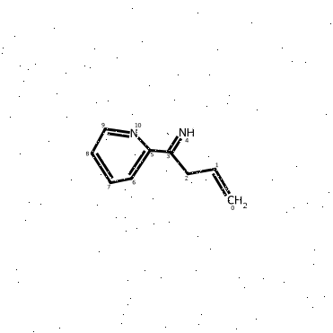 C=CCC(=N)c1ccccn1